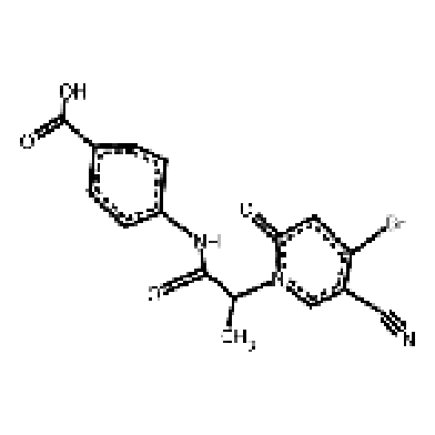 CC(C(=O)Nc1ccc(C(=O)O)cc1)n1cc(C#N)c(Br)cc1=O